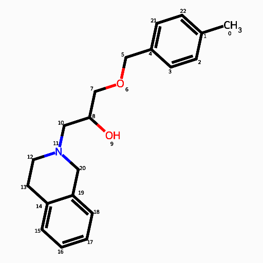 Cc1ccc(COCC(O)CN2CCc3ccccc3C2)cc1